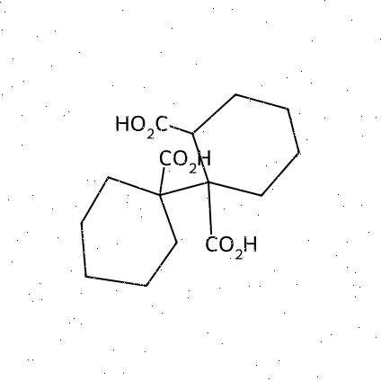 O=C(O)C1CCCCC1(C(=O)O)C1(C(=O)O)CCCCC1